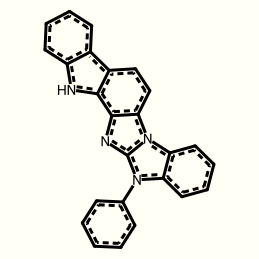 c1ccc(-n2c3ccccc3n3c4ccc5c6ccccc6[nH]c5c4nc23)cc1